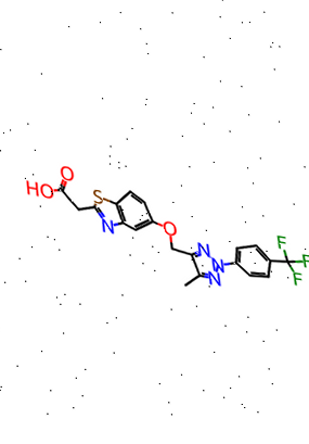 Cc1nn(-c2ccc(C(F)(F)F)cc2)nc1COc1ccc2sc(CC(=O)O)nc2c1